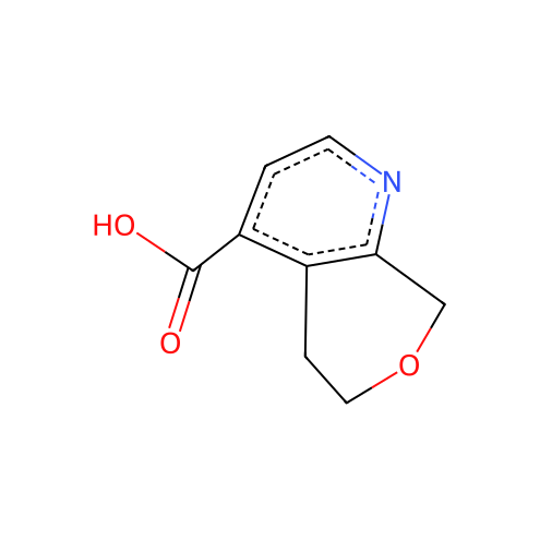 O=C(O)c1ccnc2c1CCOC2